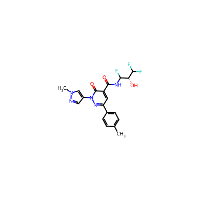 Cc1ccc(-c2cc(C(=O)NC(F)[C@@H](O)C(F)F)c(=O)n(-c3cnn(C)c3)n2)cc1